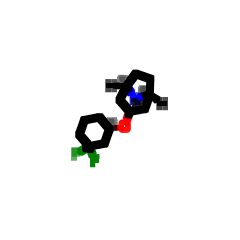 CC(C)N1[C@@H]2CC[C@H]1CC(O[C@H]1CCCC(F)(F)C1)C2